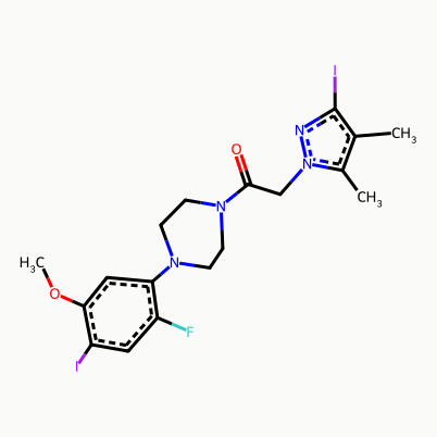 COc1cc(N2CCN(C(=O)Cn3nc(I)c(C)c3C)CC2)c(F)cc1I